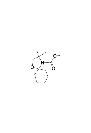 COC(=O)N1C(C)(C)COC12CCCCC2